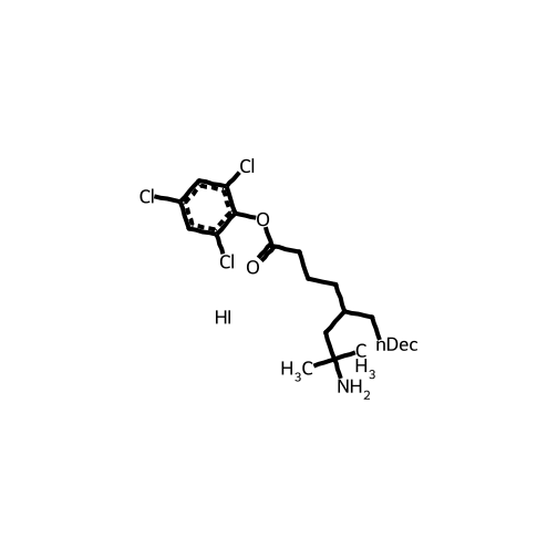 CCCCCCCCCCCC(CCCC(=O)Oc1c(Cl)cc(Cl)cc1Cl)CC(C)(C)N.I